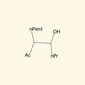 CCCCCC(C(C)=O)C(O)CCC